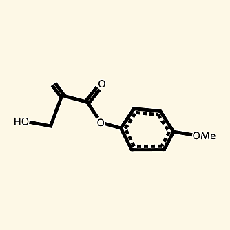 C=C(CO)C(=O)Oc1ccc(OC)cc1